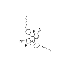 CCCCCCC1CCC(Cc2c(Oc3ccc(C#N)c(F)c3CC3CCC(CCCCCC)CC3)ccc(C#N)c2F)CC1